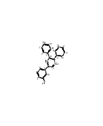 Fc1cccc(-c2cnc(-c3ccccc3)c(-c3ccccc3)n2)c1